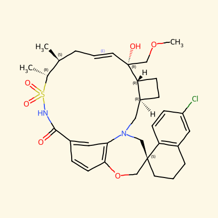 COC[C@]1(O)/C=C/C[C@H](C)[C@@H](C)S(=O)(=O)NC(=O)c2ccc3c(c2)N(C[C@@H]2CC[C@H]21)C[C@@]1(CCCc2cc(Cl)ccc21)CO3